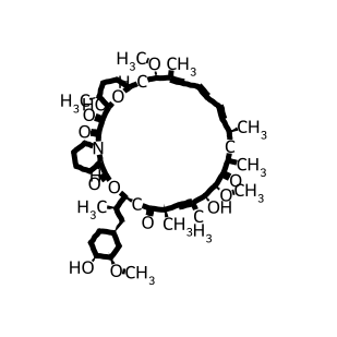 CO[C@H]1C[C@@H]2CC[C@@H](C)[C@@](O)(O2)C(=O)C(=O)N2CCCC[C@H]2C(=O)O[C@H]([C@H](C)C[C@@H]2CC[C@@H](O)[C@H](OC)C2)CC(=O)[C@H](C)/C=C(\C)[C@@H](O)[C@@H](OC)C(=O)C(C)C[C@H](C)/C=C/C=C/C=C/1C